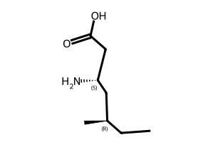 CC[C@@H](C)C[C@H](N)CC(=O)O